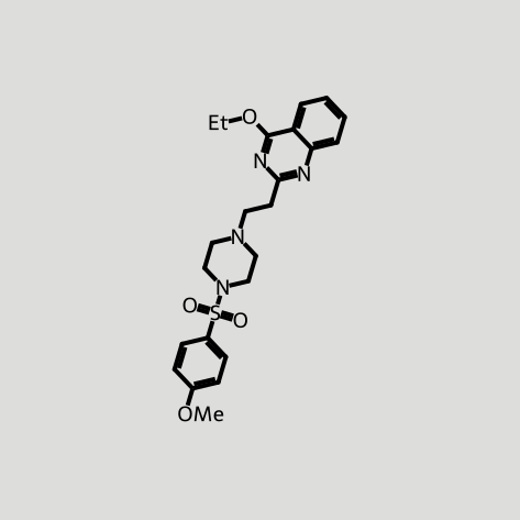 CCOc1nc(CCN2CCN(S(=O)(=O)c3ccc(OC)cc3)CC2)nc2ccccc12